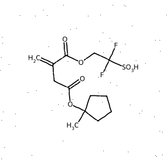 C=C(CC(=O)OC1(C)CCCC1)C(=O)OCC(F)(F)S(=O)(=O)O